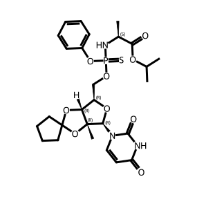 CC(C)OC(=O)[C@H](C)NP(=S)(OC[C@H]1O[C@@H](n2ccc(=O)[nH]c2=O)[C@]2(C)OC3(CCCC3)O[C@H]12)Oc1ccccc1